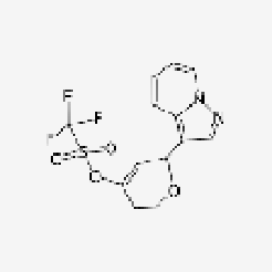 O=S(=O)(OC1=CC(c2cnn3ccccc23)OCC1)C(F)(F)F